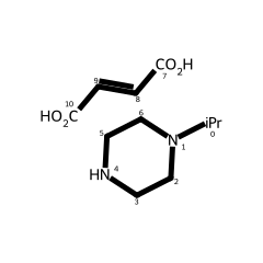 CC(C)N1CCNCC1.O=C(O)C=CC(=O)O